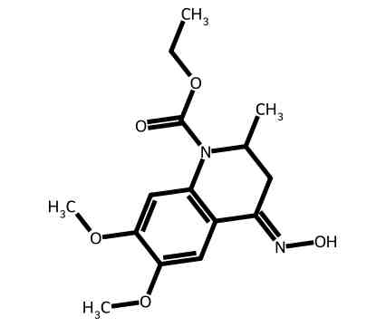 CCOC(=O)N1c2cc(OC)c(OC)cc2C(=NO)CC1C